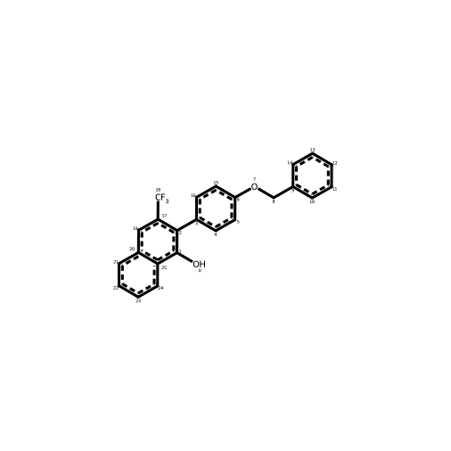 Oc1c(-c2ccc(OCc3ccccc3)cc2)c(C(F)(F)F)cc2ccccc12